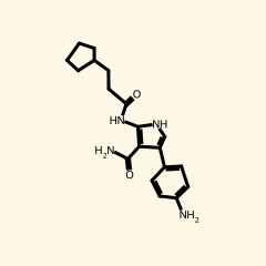 NC(=O)c1c(-c2ccc(N)cc2)c[nH]c1NC(=O)CCC1CCCC1